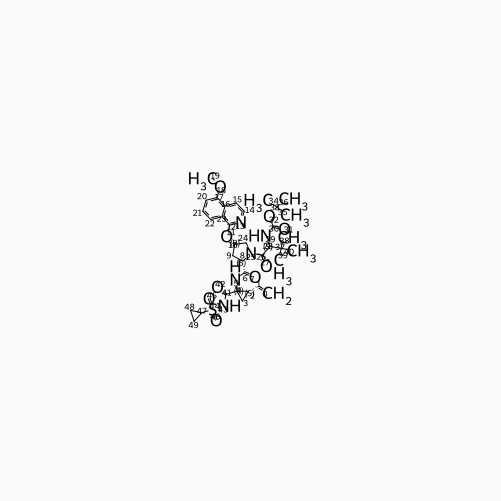 C=C[C@@H]1C[C@]1(NC(=O)[C@@H]1C[C@@H](Oc2nccc3c(OC)cccc23)CN1C(=O)[C@@H](NC(=O)OC(C)(C)C)C(C)(C)C)C(=O)NS(=O)(=O)C1CC1